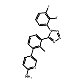 Cc1c(-c2ccc(N)nc2)cccc1-c1nnnn1-c1cccc(F)c1F